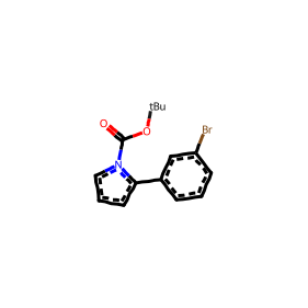 CC(C)(C)OC(=O)n1cccc1-c1cccc(Br)c1